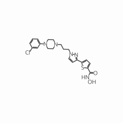 O=C(NO)c1ccc(-c2ccn(CCCN3CCN(c4cccc(Cl)c4)CC3)n2)s1